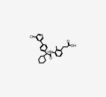 Cc1c(CCC(=O)O)cccc1NC(=O)C(c1ccc(-c2cncc(Cl)c2)cc1)C1CCCCC1